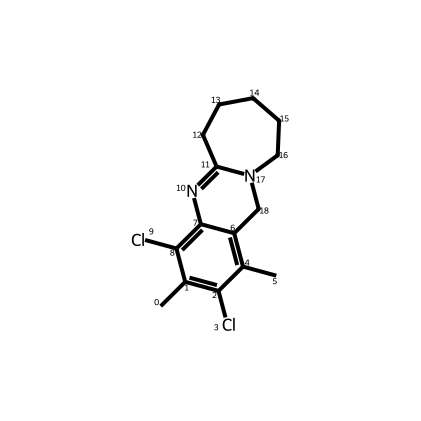 Cc1c(Cl)c(C)c2c(c1Cl)N=C1CCCCCN1C2